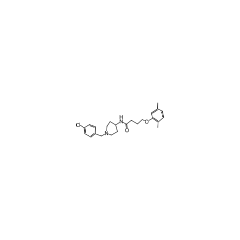 Cc1ccc(C)c(OCCCC(=O)NC2CCN(Cc3ccc(Cl)cc3)CC2)c1